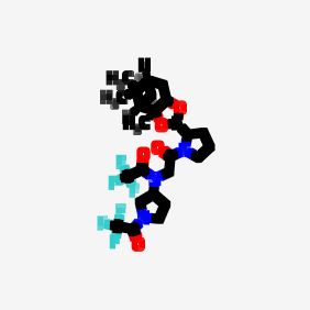 CC1(C)[C@@H]2CC3OB(C4CCCN4C(=O)CN(C(=O)C(F)(F)F)C4CCN(C(=O)C(F)(F)F)C4)O[C@@]3(C)[C@H]1C2